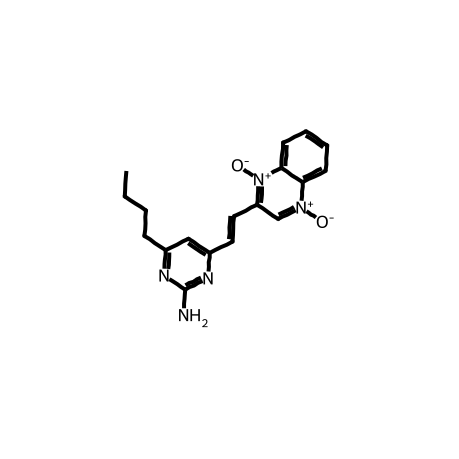 CCCCc1cc(/C=C/c2c[n+]([O-])c3ccccc3[n+]2[O-])nc(N)n1